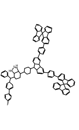 Fc1ccc(C2=CCC(C(c3ccccc3)C3CCC(C4CCC(C5C6C=CC(c7ccc(-c8ccc9c(c8)C8(c%10ccccc%10-c%10ccccc%108)c8ccccc8-9)cc7)=CC6C6C=C(c7ccc(-c8ccc9c(c8)C8(c%10ccccc%10-c%10ccccc%108)c8ccccc8-9)cc7)C=CC65)CC4)C4NSNC34)C=C2)cc1